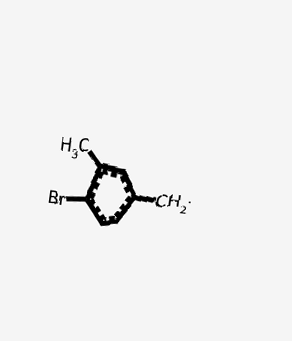 [CH2]c1ccc(Br)c(C)c1